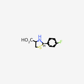 O=C(O)C1CS[C@H](c2ccc(F)cc2)N1